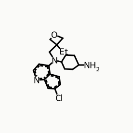 CCC1(CN(c2ccnc3cc(Cl)ccc23)C2CCC(N)CC2)COC1